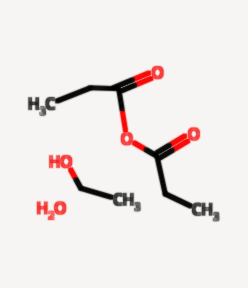 CCC(=O)OC(=O)CC.CCO.O